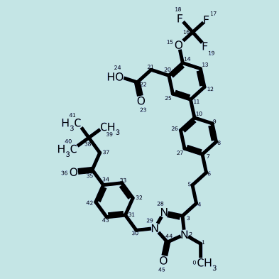 CCn1c(CCCc2ccc(-c3ccc(OC(F)(F)F)c(CC(=O)O)c3)cc2)nn(Cc2ccc(C(=O)CC(C)(C)C)cc2)c1=O